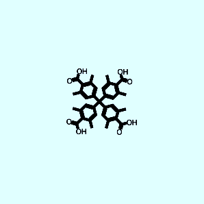 Cc1cc(C(c2cc(C)c(C(=O)O)c(C)c2)(c2cc(C)c(C(=O)O)c(C)c2)c2cc(C)c(C(=O)O)c(C)c2)cc(C)c1C(=O)O